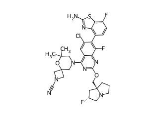 CC1(C)CN(c2nc(OC[C@@]34CCCN3C[C@H](F)C4)nc3c(F)c(-c4ccc(F)c5sc(N)nc45)c(Cl)cc23)CC2(CN(C#N)C2)O1